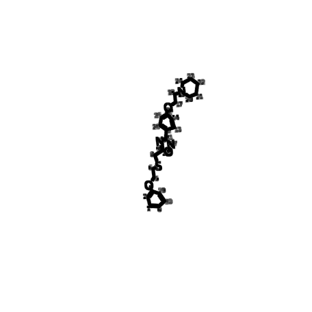 c1ccc(OCCSCc2nc(-c3ccc(OCCN4CCCCC4)cc3)no2)cc1